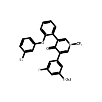 CCCCCCCCc1cc(F)cc(-c2cn(C(F)(F)F)cc(-c3ccccc3Oc3cccc(CC)c3)c2=O)c1